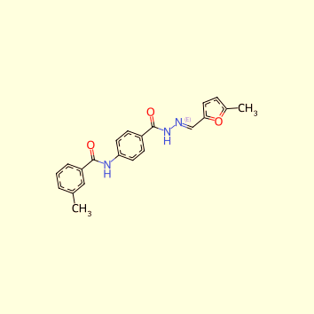 Cc1cccc(C(=O)Nc2ccc(C(=O)N/N=C/c3ccc(C)o3)cc2)c1